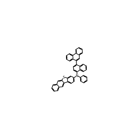 c1ccc(N(c2ccc3c(c2)sc2cc4ccccc4cc23)c2ccc(-c3cc4ccccc4c4ccccc34)c3ccccc23)cc1